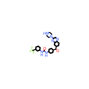 O=C(Nc1ccc(C(=O)c2ccc3ncc(N4CCNCC4)nc3c2)cc1)Nc1cccc(C(F)(F)F)c1